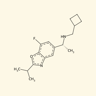 CC(C)c1nc2cc([C@@H](C)NCC3CCC3)cc(F)c2o1